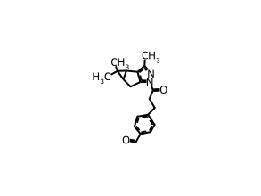 Cc1nn(C(=O)CCc2ccc(C=O)cc2)c2c1C1C(C2)C1(C)C